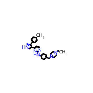 CCN1CCN(Cc2ccc(Nc3nccc(-c4c[nH]nc4-c4ccc(C)cc4)n3)cc2)CC1